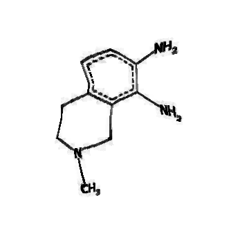 CN1CCc2ccc(N)c(N)c2C1